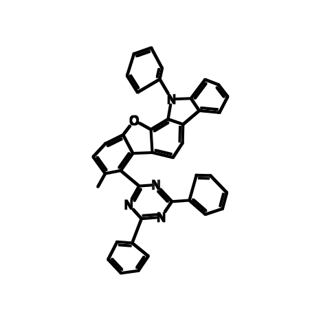 Cc1ccc2oc3c(ccc4c5ccccc5n(-c5ccccc5)c43)c2c1-c1nc(-c2ccccc2)nc(-c2ccccc2)n1